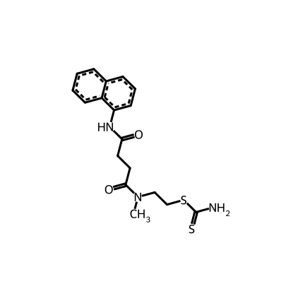 CN(CCSC(N)=S)C(=O)CCC(=O)Nc1cccc2ccccc12